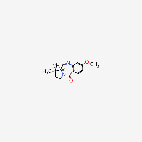 COc1ccc2c(c1)N=C[C@H]1N(CCC1(C)C)C2=O